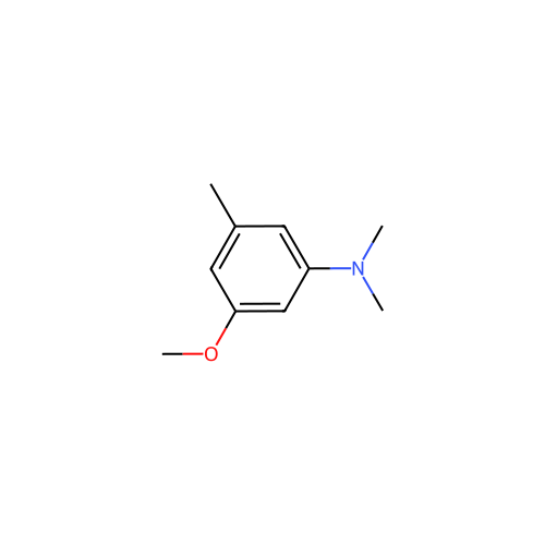 COc1cc(C)cc(N(C)C)c1